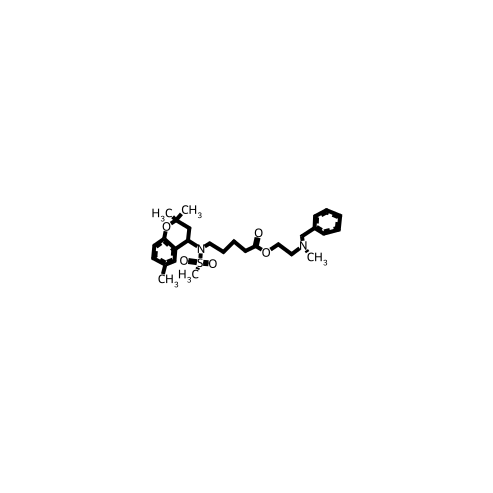 Cc1ccc2c(c1)C(N(CCCCC(=O)OCCN(C)Cc1ccccc1)S(C)(=O)=O)CC(C)(C)O2